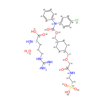 N=C(N)NCCC[C@H](N)C(=O)O.O.O=C(COCC1CCC(COC(=O)N(c2ccccc2)c2ccc(Cl)cc2)CC1)NCCS(=O)(=O)O